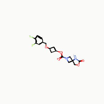 O=C1NC2(CO1)CN(C(=O)OC1CC(OCc3ccc(F)c(F)c3)C1)C2